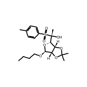 CCCCO[C@H]1O[C@H]([C@@](C)(O)S(=O)(=O)c2ccc(C)cc2)[C@@H]2OC(C)(C)O[C@H]12